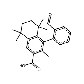 Cc1c(C(=O)O)cc2c(c1-c1ccccc1C=O)C(C)(C)CCC2(C)C